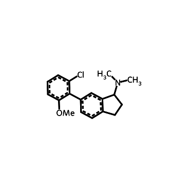 COc1cccc(Cl)c1-c1ccc2c(c1)C(N(C)C)CC2